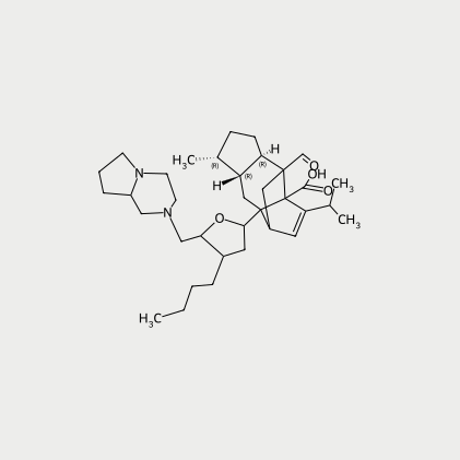 CCCCC1CC(C23C[C@@H]4[C@H](C)CC[C@H]4C4(C=O)CC2C=C(C(C)C)C34C(=O)O)OC1CN1CCN2CCCC2C1